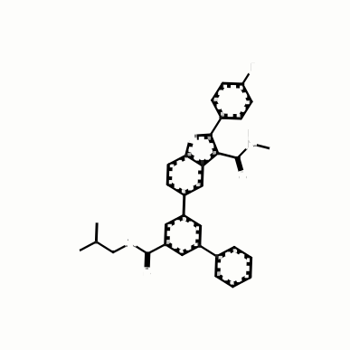 CNC(=O)c1c(-c2ccc(F)cc2)oc2ccc(-c3cc(C(=O)NCC(C)C)cc(-c4ccccc4)c3)cc12